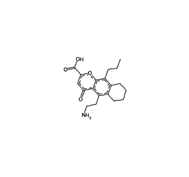 CCCc1c2c(c(CCN)c3c(=O)cc(C(=O)O)oc13)CCCC2